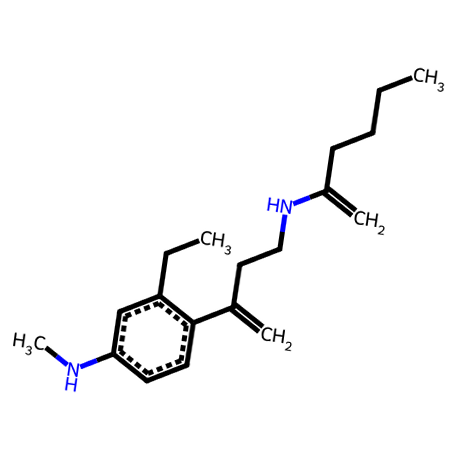 C=C(CCCC)NCCC(=C)c1ccc(NC)cc1CC